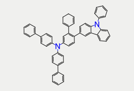 C1=CC(c2cc(N(c3ccc(-c4ccccc4)cc3)c3ccc(-c4ccccc4)cc3)ccc2-c2ccc3c(c2)c2ccccc2n3-c2ccccc2)=CCC1